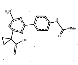 CNC(=O)Nc1ccc(-c2nc(N)cc(C3(S(=O)O)CC3)n2)cc1